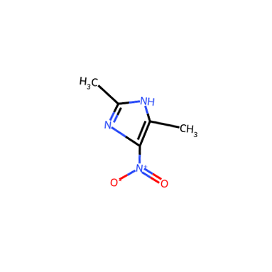 Cc1nc([N+](=O)[O-])c(C)[nH]1